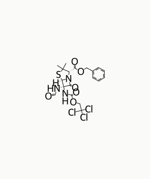 CC1(C)S[C@H]2N(C(=O)[C@@]2(NC=O)NC(=O)OCC(Cl)(Cl)Cl)[C@H]1C(=O)OCc1ccccc1